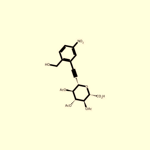 CC(=O)O[C@@H]1[C@@H](OC(C)=O)[C@H](C#Cc2cc([N+](=O)[O-])ccc2CO)O[C@H](C(=O)O)[C@H]1OC(C)=O